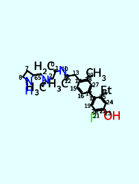 C=C(CN(C)CC1CCN1)/N=C(\C)Cc1ccc(-c2cc(F)c(O)cc2CC)cc1C